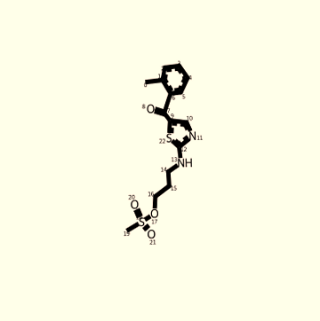 Cc1ccccc1C(=O)c1cnc(NCCCOS(C)(=O)=O)s1